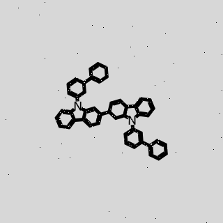 C1=CC(C2=CCCC=C2)CC(n2c3ccccc3c3ccc(C4C=CC5c6ccccc6N(c6cccc(-c7ccccc7)c6)C5C4)cc32)=C1